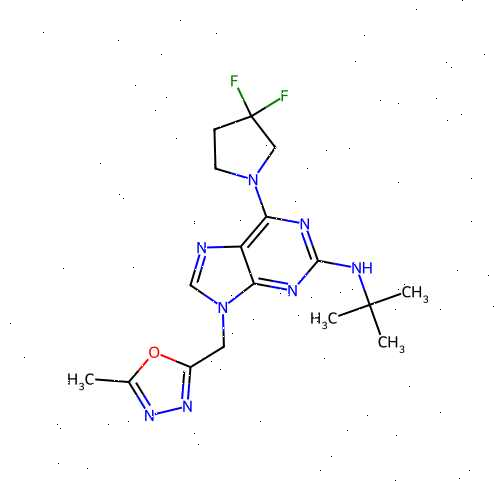 Cc1nnc(Cn2cnc3c(N4CCC(F)(F)C4)nc(NC(C)(C)C)nc32)o1